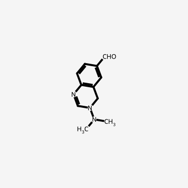 CN(C)N1C=Nc2ccc(C=O)cc2C1